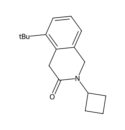 CC(C)(C)c1cccc2c1CC(=O)N(C1CCC1)C2